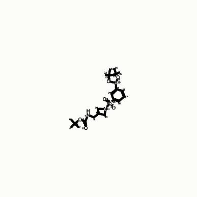 CC(C)(C)OC(=O)NCC1CN(S(=O)(=O)c2cccc(B3OC(C)(C)C(C)(C)O3)c2)C1